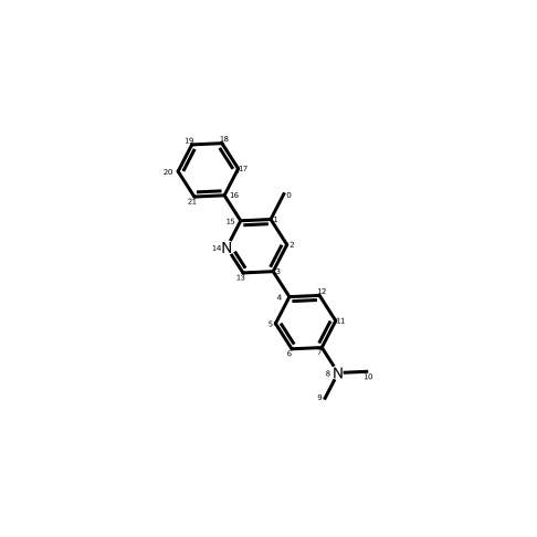 Cc1cc(-c2ccc(N(C)C)cc2)cnc1-c1[c]cccc1